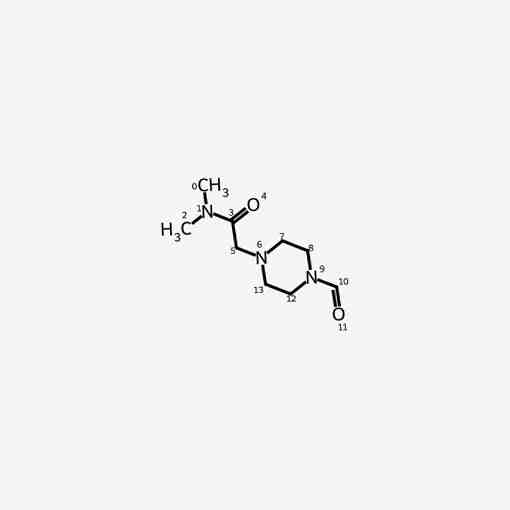 CN(C)C(=O)CN1CCN(C=O)CC1